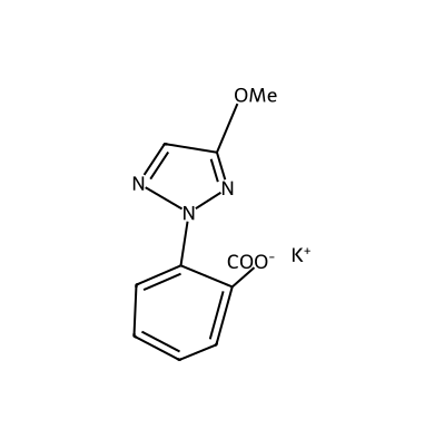 COc1cnn(-c2ccccc2C(=O)[O-])n1.[K+]